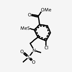 COC(=O)c1ccc(Cl)c(CN(C)S(C)(=O)=O)c1SC